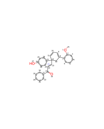 COc1ccccc1C1=CC=CC(/C=C/C(=O)c2ccccc2)(c2ccc(O)cc2)C1